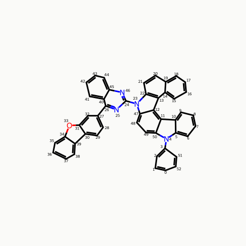 c1ccc(-n2c3ccccc3c3c4c5c6ccccc6ccc5n(-c5nc(-c6ccc7c(c6)oc6ccccc67)c6ccccc6n5)c4ccc32)cc1